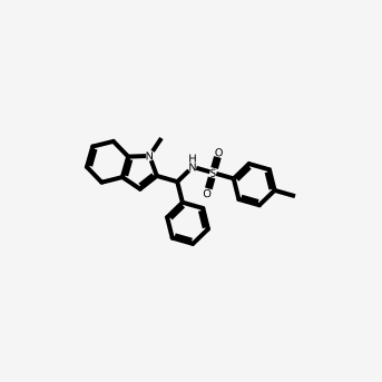 Cc1ccc(S(=O)(=O)NC(c2ccccc2)c2cc3c(n2C)CC=CC3)cc1